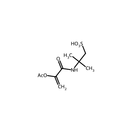 C=C(OC(C)=O)C(=O)NC(C)(C)CS(=O)(=O)O